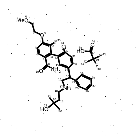 COCCOc1ccc(C(N)=O)c(-c2cc(C(CNCCC(C)(C)O)c3ccccc3)ccc2Cl)c1F.O=C(O)C(F)(F)F